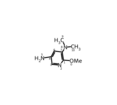 COc1ncc(N)cc1N(C)C